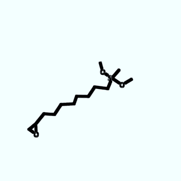 CO[Si](C)(CCCCCCCCC1CO1)OC